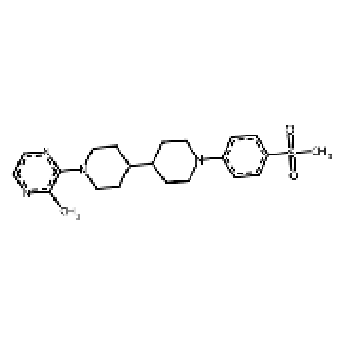 Cc1nccnc1N1CCC(C2CCN(c3ccc(S(C)(=O)=O)cc3)CC2)CC1